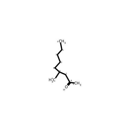 CCCCCC(C)CC(C)=O